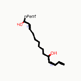 C=C/C=C\C(O)CCCCCC/C=C/C(O)CCCCC